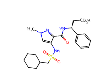 Cn1cc(NS(=O)(=O)CC2CCCCC2)c(C(=O)N[C@@H](CC(=O)O)c2ccccc2)n1